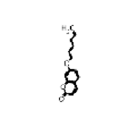 C=CCCCCOc1ccc2ccc(=O)oc2c1